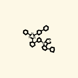 c1ccc(-c2ccc(-c3nc(-c4ccccc4)nc(-c4ccccc4-c4cccc(-n5c6ccccc6c6c(-c7ccccc7)cccc65)c4)n3)cc2)cc1